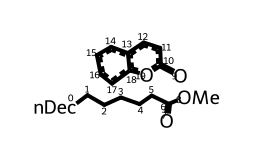 CCCCCCCCCCCCCCCC(=O)OC.O=c1ccc2ccccc2o1